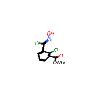 COC(=O)c1cccc(C(Cl)=NO)c1Cl